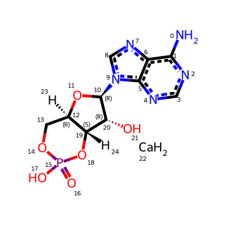 Nc1ncnc2c1ncn2[C@@H]1O[C@@H]2COP(=O)(O)O[C@H]2[C@H]1O.[CaH2]